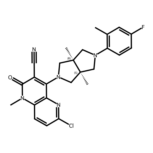 Cc1cc(F)ccc1N1C[C@@]2(C)CN(c3c(C#N)c(=O)n(C)c4ccc(Cl)nc34)C[C@@]2(C)C1